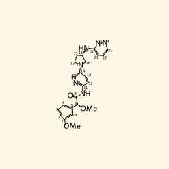 COc1cccc([C@H](OC)C(=O)Nc2ccc(N3CC[C@@H](Nc4cccnn4)C3)nn2)c1